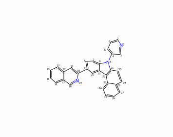 c1cncc(-n2c3ccc(-c4cc5ccccc5cn4)cc3c3c4ccccc4ccc32)c1